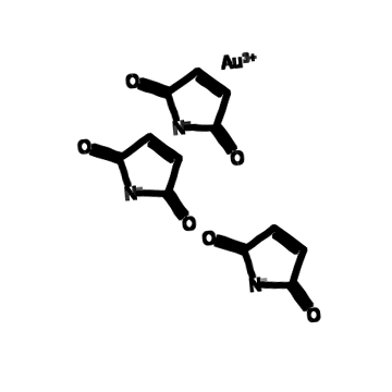 O=C1C=CC(=O)[N-]1.O=C1C=CC(=O)[N-]1.O=C1C=CC(=O)[N-]1.[Au+3]